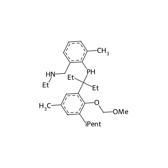 CCCC(C)c1cc(C)cc(C(CC)(CC)Pc2c(C)cccc2CNCC)c1OCOC